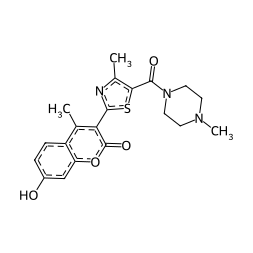 Cc1nc(-c2c(C)c3ccc(O)cc3oc2=O)sc1C(=O)N1CCN(C)CC1